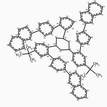 CC(C)(C)c1ccc(C2CC(c3ccccc3-c3ccc(-c4ccc5ccccc5c4)nc3)CC(c3ccc(C(C)(C)C)cc3-c3ccc(-c4ccc5ccccc5c4)nc3)C2)c(-c2ccc(-c3ccc4ccccc4c3)nc2)c1